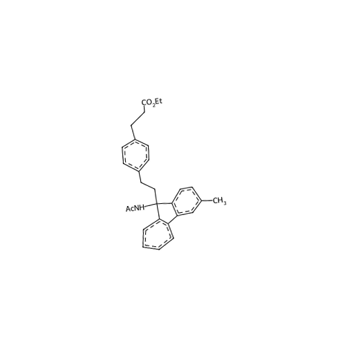 CCOC(=O)CCc1ccc(CCC2(NC(C)=O)c3ccccc3-c3cc(C)ccc32)cc1